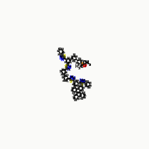 CP(C)(=O)c1ccc(-c2cccc(-c3cc(-c4nnc(-c5ccccc5)s4)cc(-c4nnc(-c5cccc(-c6cccc(-c7nnc(-c8cc(-c9cccc(C(=C(c%10ccccc%10)c%10ccccc%10)c%10ccccc%10)c9)cc(-c9nnc(-c%10ccccc%10)s9)c8)s7)c6)c5)s4)c3)c2)cc1